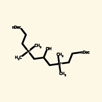 CCCCCCCCCCCC[N+](C)(C)CC(O)C[N+](C)(C)CCCCCCCCCCCC